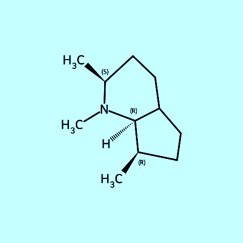 C[C@@H]1CCC2CC[C@H](C)N(C)[C@@H]21